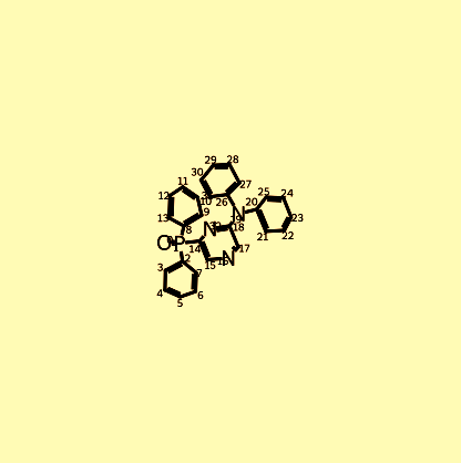 O=P(c1ccccc1)(c1ccccc1)c1cncc(N(c2ccccc2)c2ccccc2)n1